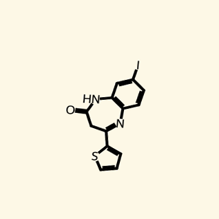 O=C1CC(c2cccs2)=Nc2ccc(I)cc2N1